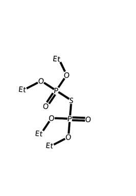 CCOP(=O)(OCC)SP(=O)(OCC)OCC